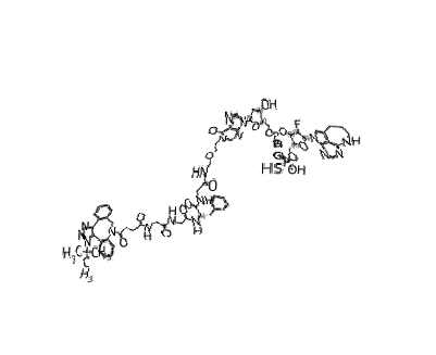 CC(C)(C)n1nnc2c1-c1ccccc1N(C(=O)CCC(=O)NCC(=O)NCC(=O)N[C@@H](Cc1ccccc1)C(=O)NCC(=O)NCOCCn1cnc3c(ncn3[C@H]3C[C@H](O)[C@@H](CO[PH](=O)O[C@H]4[C@@H](F)[C@H](n5cc6c7c(ncnc75)NCCC6)O[C@@H]4CO[P@](=O)(O)S)O3)c1=O)Cc1ccccc1-2